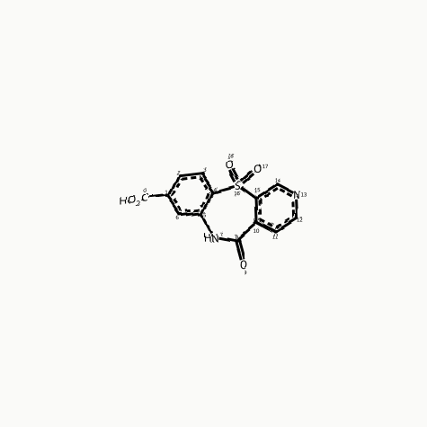 O=C(O)c1ccc2c(c1)NC(=O)c1ccncc1S2(=O)=O